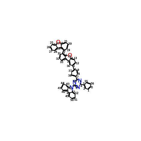 c1ccc(-c2nc(-c3ccc(-c4ccc5oc6c(-c7cccc8oc9ccccc9c78)cccc6c5c4)cc3)nc(-n3c4ccccc4c4ccccc43)n2)cc1